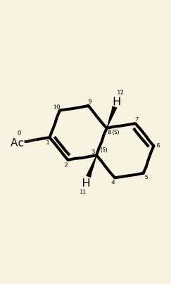 CC(=O)C1=C[C@H]2CCC=C[C@H]2CC1